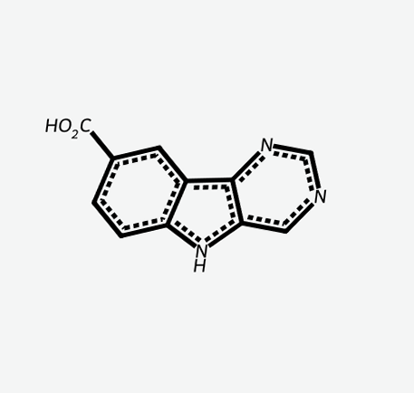 O=C(O)c1ccc2[nH]c3cncnc3c2c1